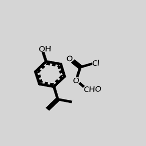 C=C(C)c1ccc(O)cc1.O=COC(=O)Cl